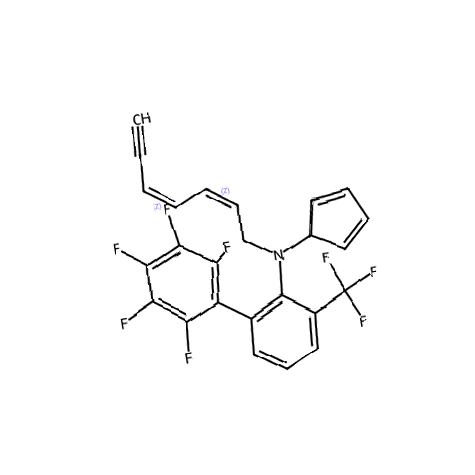 C#C/C=C\C=C/CN(c1c(-c2c(F)c(F)c(F)c(F)c2F)cccc1C(F)(F)F)C1C=CC=C1